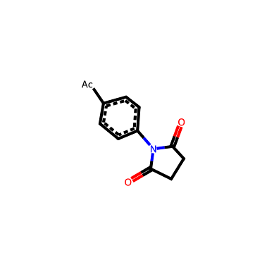 CC(=O)c1ccc(N2C(=O)CCC2=O)cc1